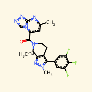 Cc1cc(C(=O)N2CCc3c(nn(C)c3-c3cc(F)c(F)c(F)c3)[C@@H]2C)n2cnnc2n1